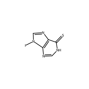 S=c1[nH]cnc2c1ncn2I